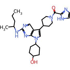 CCCC(C)Nc1ncc2c(C3CCN(C(=O)c4ncc[nH]4)CC3)cn(C3CCC(O)CC3)c2n1